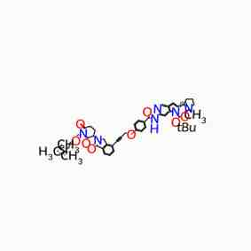 CN1CCC[C@@H]1c1cc2cnc(NC(=O)c3ccc(OCC#Cc4cccc5c4CN(C4CCC(=O)N(COCC[Si](C)(C)C)C4=O)C5=O)cc3)cc2n1C(=O)OC(C)(C)C